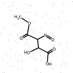 COC(=O)C(N=O)C(O)C(=O)O